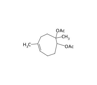 CC(=O)OC1CCC=C(C)CCC1(C)OC(C)=O